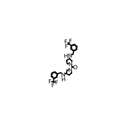 O=C(N1CCC(NCc2cccc(C(F)(F)F)c2)C1)N1CCC(NCc2cccc(C(F)(F)F)c2)C1